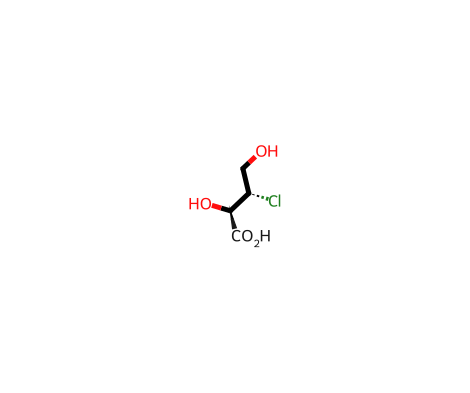 O=C(O)[C@@H](O)[C@@H](Cl)CO